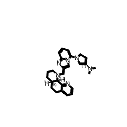 CN(C)[C@@H]1CCN(c2cccc3nc(CN4CCC[C@H]5CCc6cccnc6[C@H]54)cn23)C1